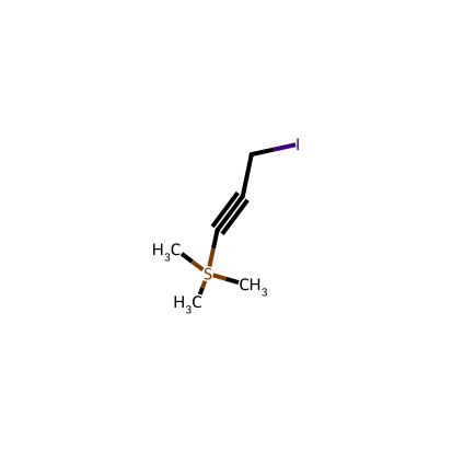 CS(C)(C)C#CCI